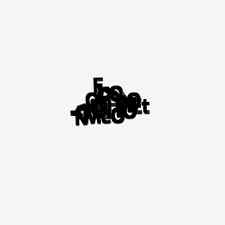 CCS(=O)(=O)N1C[C@H](Oc2cc(F)cc(NC(=O)Nc3ccc(C)nc3)c2)C[C@H]1COC